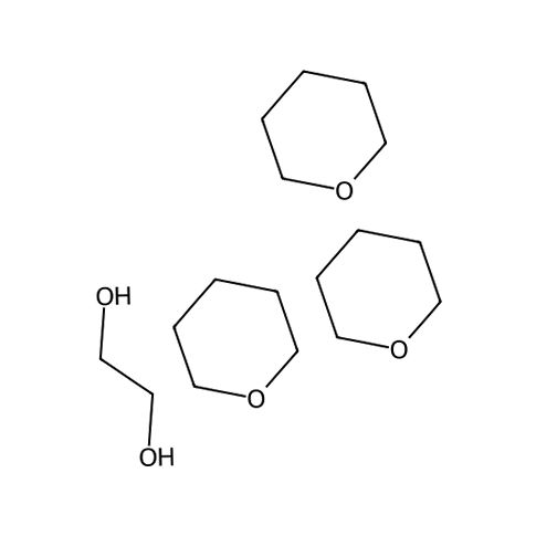 C1CCOCC1.C1CCOCC1.C1CCOCC1.OCCO